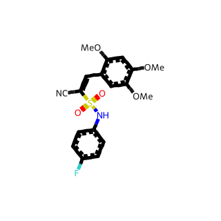 COc1cc(OC)c(OC)cc1/C=C(/C#N)S(=O)(=O)Nc1ccc(F)cc1